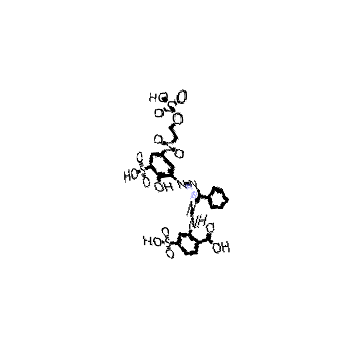 O=C(O)c1ccc(S(=O)(=O)O)cc1N/N=C(/N=N/c1cc(S(=O)(=O)CCOS(=O)(=O)O)cc(S(=O)(=O)O)c1O)c1ccccc1